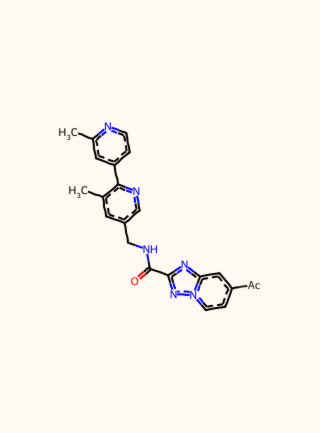 CC(=O)c1ccn2nc(C(=O)NCc3cnc(-c4ccnc(C)c4)c(C)c3)nc2c1